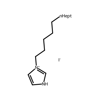 CCCCCCCCCCCC[n+]1cc[nH]c1.[I-]